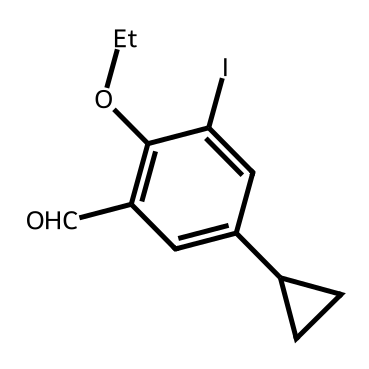 CCOc1c(I)cc(C2CC2)cc1C=O